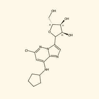 OC[C@H]1OC(c2cnc3c(NC4CCCC4)cc(Cl)nn23)[C@H](O)[C@@H]1O